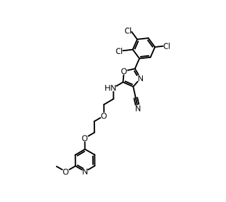 COc1cc(OCCOCCNc2oc(-c3cc(Cl)cc(Cl)c3Cl)nc2C#N)ccn1